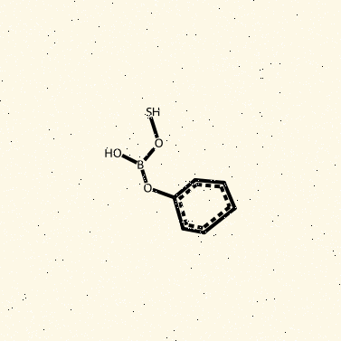 OB(OS)Oc1ccccc1